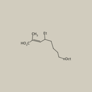 CCCCCCCCCCCCC(C=C(C)C(=O)O)CC